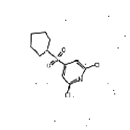 O=S(=O)(c1cc(Cl)nc(Cl)c1)C1CCCCC1